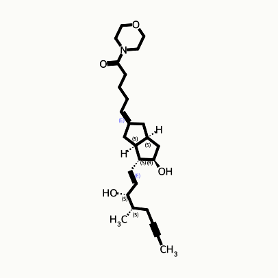 CC#CC[C@H](C)[C@H](O)/C=C/[C@@H]1[C@H]2C/C(=C/CCCC(=O)N3CCOCC3)C[C@H]2C[C@H]1O